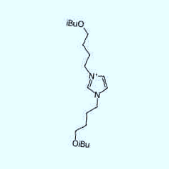 CC(C)COCCCCn1cc[n+](CCCCOCC(C)C)c1